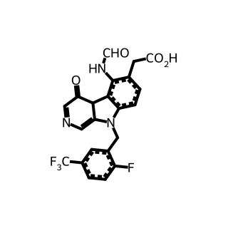 O=CNc1c(CC(=O)O)ccc2c1C1C(=O)C=NC=C1N2Cc1cc(C(F)(F)F)ccc1F